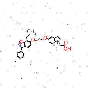 CCCc1c(OCCCOc2ccc3c(ccn3CC(=O)O)c2)ccc2c(-c3ccccc3)noc12